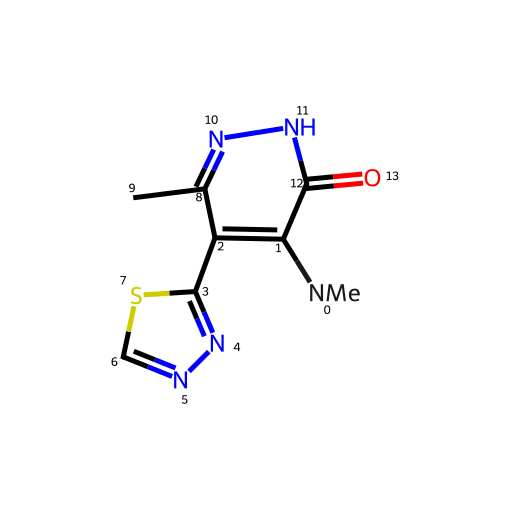 CNc1c(-c2nncs2)c(C)n[nH]c1=O